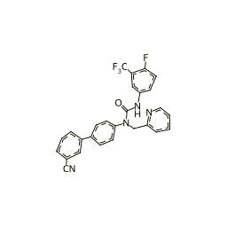 N#Cc1cccc(-c2ccc(N(Cc3ccccn3)C(=O)Nc3ccc(F)c(C(F)(F)F)c3)cc2)c1